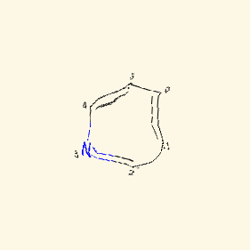 [c]1[c][c]nc[c]1